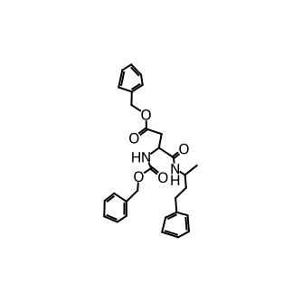 CC(CCc1ccccc1)NC(=O)C(CC(=O)OCc1ccccc1)NC(=O)OCc1ccccc1